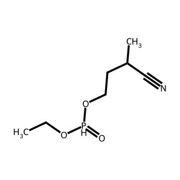 CCO[PH](=O)OCCC(C)C#N